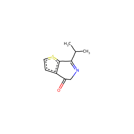 CC(C)C1=NCC(=O)c2ccsc21